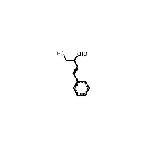 O=CC(C=Cc1ccccc1)CO